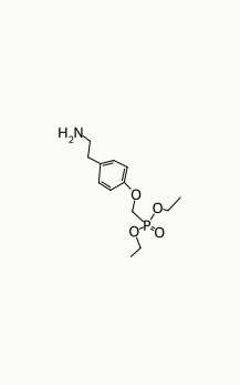 CCOP(=O)(COc1ccc(CCN)cc1)OCC